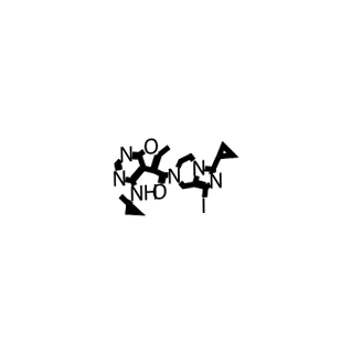 Cc1oc2ncnc(NC3(C)CC3)c2c1C(=O)N1CCn2c(C3CC3)nc(I)c2C1